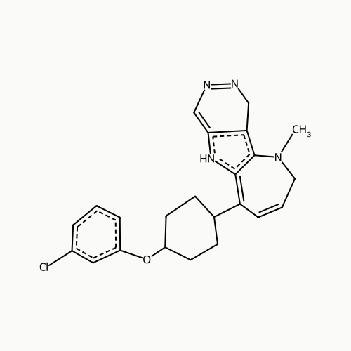 CN1CC=CC(C2CCC(Oc3cccc(Cl)c3)CC2)=c2[nH]c3c(c21)CN=NC=3